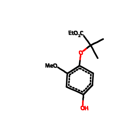 CCOC(=O)C(C)(C)Oc1ccc(O)cc1OC